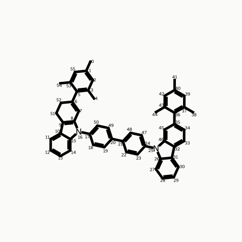 Cc1cc(C)c(C2=Cc3c(c4ccccc4n3-c3ccc(-c4ccc(-n5c6ccccc6c6ccc(-c7c(C)cc(C)cc7C)cc65)cc4)cc3)CC2)c(C)c1